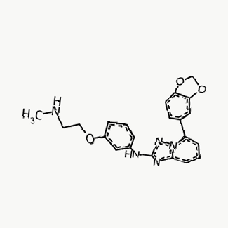 CNCCOc1cccc(Nc2nc3cccc(-c4ccc5c(c4)OCO5)n3n2)c1